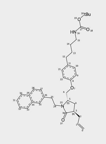 C=CC[C@@H]1C[C@@H](COc2ccc(CCCCNC(=O)OC(C)(C)C)cc2)N(CCc2ccc3ccccc3c2)C1=O